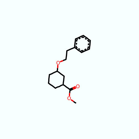 COC(=O)C1CCCC(OCCc2ccccc2)C1